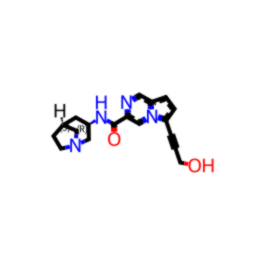 O=C(N[C@@H]1C[C@@H]2CCN(C2)C1)c1cn2c(C#CCO)ccc2cn1